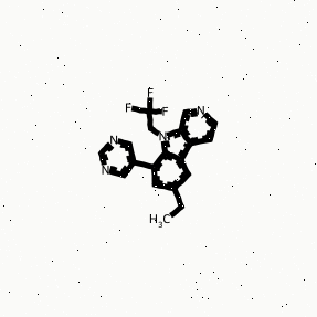 CCc1cc(-c2cncnc2)c2c(c1)c1ccncc1n2CC(F)(F)F